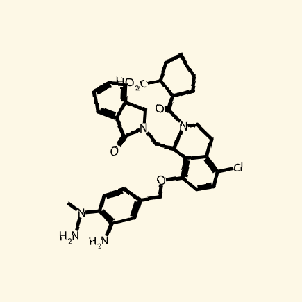 CN(N)c1ccc(COc2ccc(Cl)c3c2C(CN2Cc4ccccc4C2=O)N(C(=O)C2CCCCC2C(=O)O)CC3)cc1N